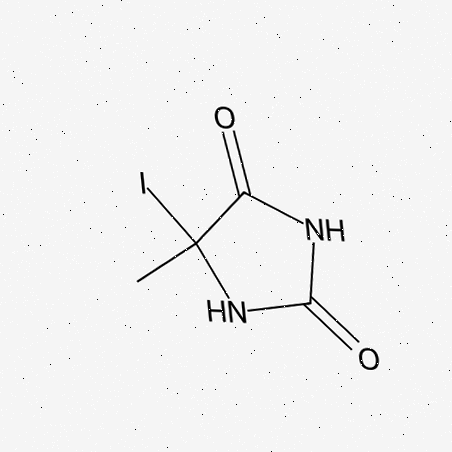 CC1(I)NC(=O)NC1=O